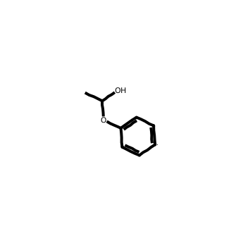 CC(O)Oc1cc[c]cc1